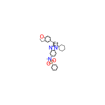 CCC1(n2c(Cc3ccc4c(c3)CCO4)nc3cc(N(C)S(=O)(=O)c4ccccc4)ccc32)CCCCC1